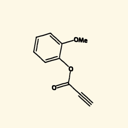 C#CC(=O)Oc1ccccc1OC